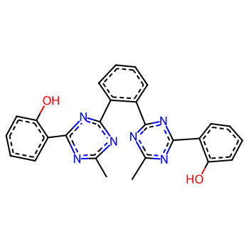 Cc1nc(-c2ccccc2O)nc(-c2ccccc2-c2nc(C)nc(-c3ccccc3O)n2)n1